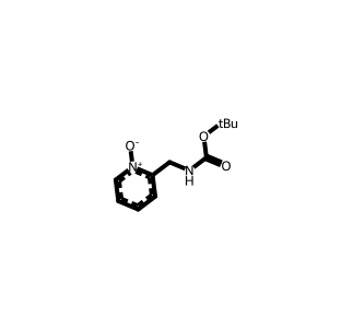 CC(C)(C)OC(=O)NCc1cccc[n+]1[O-]